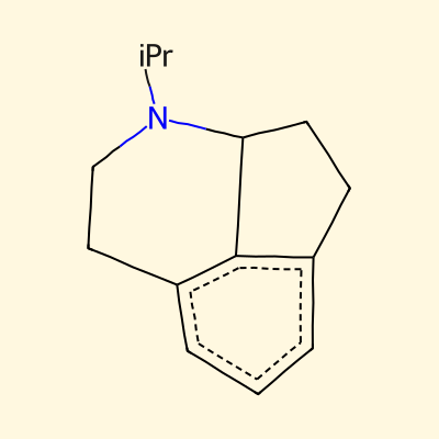 CC(C)N1CCc2cccc3c2C1CC3